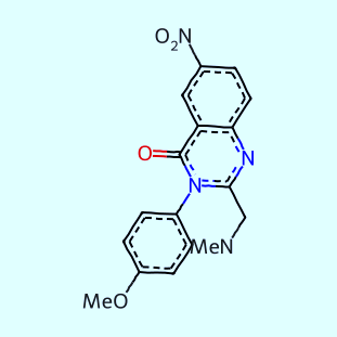 CNCc1nc2ccc([N+](=O)[O-])cc2c(=O)n1-c1ccc(OC)cc1